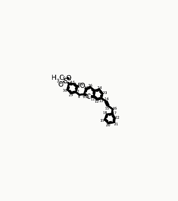 CS(=O)(=O)c1ccc(Cc2cc3cc(C#CCc4ccccc4)ccc3cc2O)cc1